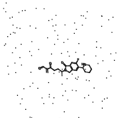 CC(CCC(=O)NC=O)N1Cc2cc(C3CCCCN3)c(F)cc2C1=O